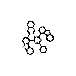 C1=CC2C=CC(c3ccc4oc5ccccc5c4c3-c3nc(-c4ccccc4)nc(-c4cccc5sc6ccccc6c45)n3)=CC2C=C1